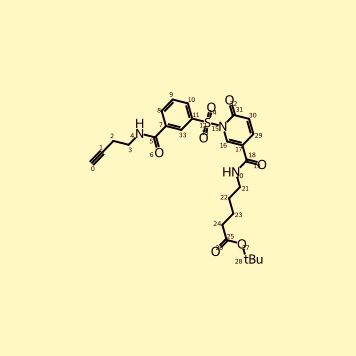 C#CCCNC(=O)c1cccc(S(=O)(=O)n2cc(C(=O)NCCCCC(=O)OC(C)(C)C)ccc2=O)c1